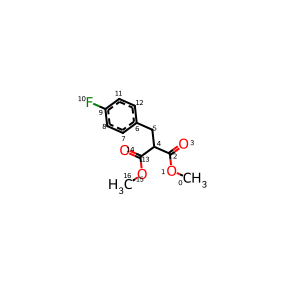 COC(=O)C(Cc1ccc(F)cc1)C(=O)OC